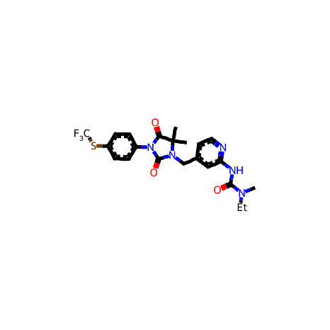 CCN(C)C(=O)Nc1cc(CN2C(=O)N(c3ccc(SC(F)(F)F)cc3)C(=O)C2(C)C)ccn1